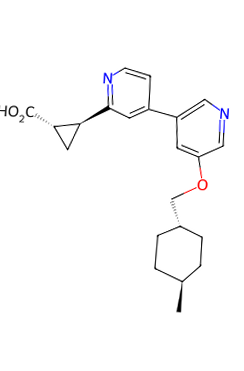 C[C@H]1CC[C@H](COc2cncc(-c3ccnc([C@H]4C[C@@H]4C(=O)O)c3)c2)CC1